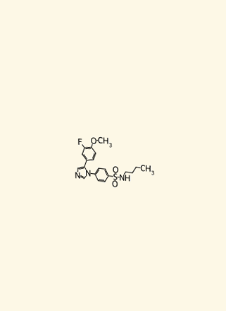 CCCCNS(=O)(=O)c1ccc(-n2cncc2-c2ccc(OC)c(F)c2)cc1